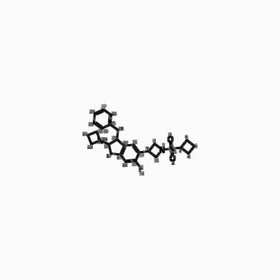 O=S(=O)(C1CCC1)N1CC(c2cc3c(cc2F)CC(N2CCC2)C3Cc2ccccc2)C1